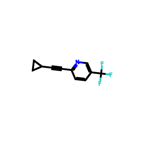 FC(F)(F)c1ccc(C#CC2CC2)nc1